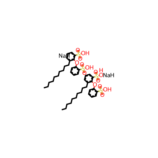 CCCCCCCCCCc1cccc(S(=O)(=O)O)c1Oc1ccccc1S(=O)(=O)O.CCCCCCCCCCc1cccc(S(=O)(=O)O)c1Oc1ccccc1S(=O)(=O)O.[NaH].[NaH]